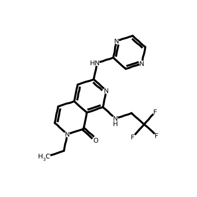 CCn1ccc2cc(Nc3cnccn3)nc(NCC(F)(F)F)c2c1=O